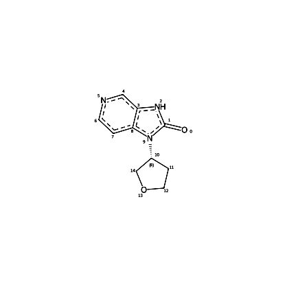 O=c1[nH]c2cnccc2n1[C@@H]1CCOC1